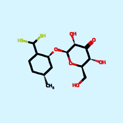 C[C@@H]1CCC(C(S)S)[C@H](O[C@@H]2O[C@H](CO)[C@@H](O)C(=O)[C@H]2O)C1